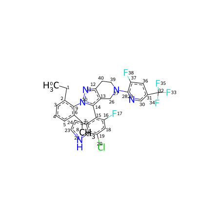 CCc1cccc(CC)c1-n1nc2c(c1-c1c(F)cc(Cl)c3[nH]ccc13)CN(c1ncc(C(F)(F)F)cc1F)CC2